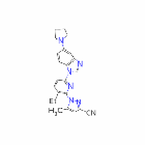 CCc1ccc(-n2cnc3cc(N4CCCC4)ccc32)nc1-n1nc(C#N)cc1C